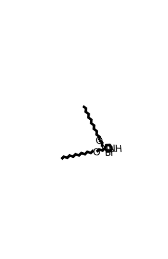 CCCCCCCCCCCCOCC[N+]1(CCOCCCCCCCCCCCC)CCNCC1.[Br-]